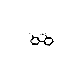 CNc1cc(-c2ccccc2OC)ccn1